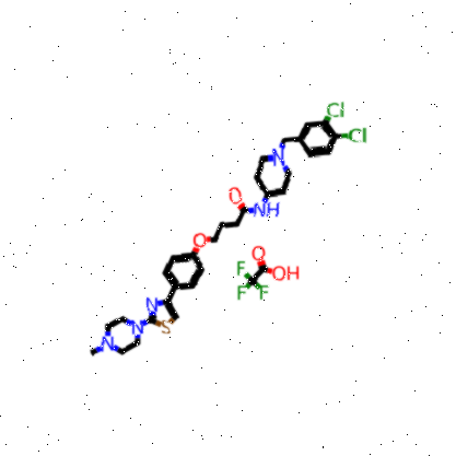 CN1CCN(c2nc(-c3ccc(OCCCC(=O)NC4CCN(Cc5ccc(Cl)c(Cl)c5)CC4)cc3)cs2)CC1.O=C(O)C(F)(F)F